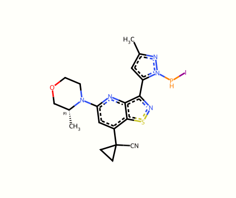 Cc1cc(-c2nsc3c(C4(C#N)CC4)cc(N4CCOC[C@H]4C)nc23)n(PI)n1